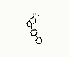 Cc1ccc2c(ccn2-c2ccc(-c3ccccc3)cc2)c1